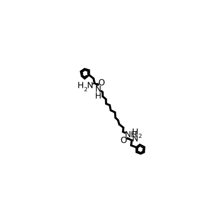 N[C@@H](Cc1ccccc1)C(=O)NCCCCCCCCCCCCNC(=O)[C@@H](N)Cc1ccccc1